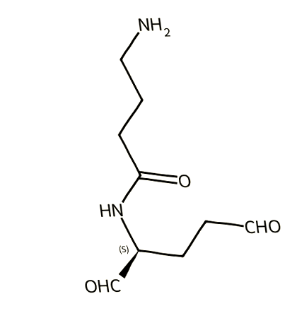 NCCCC(=O)N[C@H](C=O)CCC=O